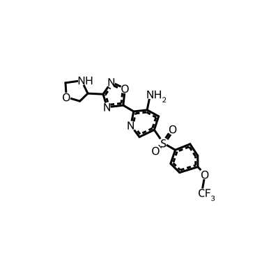 Nc1cc(S(=O)(=O)c2ccc(OC(F)(F)F)cc2)cnc1-c1nc(C2COCN2)no1